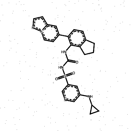 O=C(Nc1c(-c2ccn3nccc3c2)ccc2c1CCC2)NS(=O)(=O)c1cncc(NC2CC2)c1